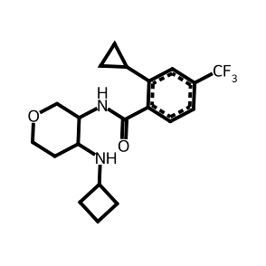 O=C(NC1COCCC1NC1CCC1)c1ccc(C(F)(F)F)cc1C1CC1